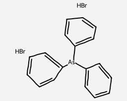 Br.Br.c1ccc([As](c2ccccc2)c2ccccc2)cc1